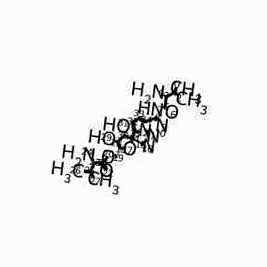 CC(C)[C@H](N)C(=O)Nc1ncnn2c([C@]3(C#N)O[C@H](COC(=O)[C@@H](N)C(C)C)[C@@H](O)[C@H]3O)ccc12